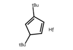 CC(C)(C)[C]1C=CC(C(C)(C)C)=C1.[Hf]